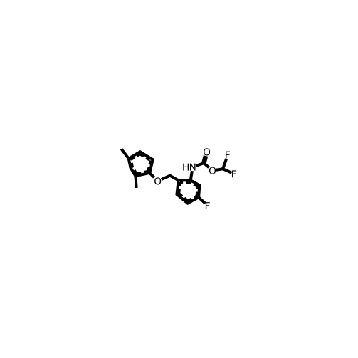 Cc1ccc(OCc2ccc(F)cc2NC(=O)OC(F)F)c(C)c1